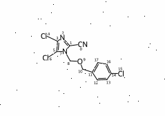 N#Cc1nc(Cl)c(Cl)n1COCc1ccc(Cl)cc1